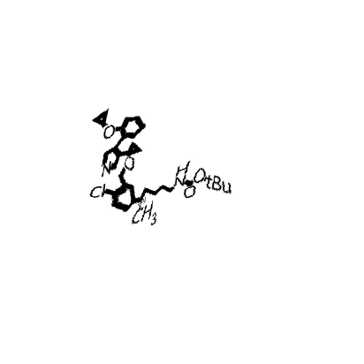 C[C@@H](CCCCNC(=O)OC(C)(C)C)c1ccc(Cl)c(COC2(c3cnccc3-c3ccccc3OC3CC3)CC2)c1